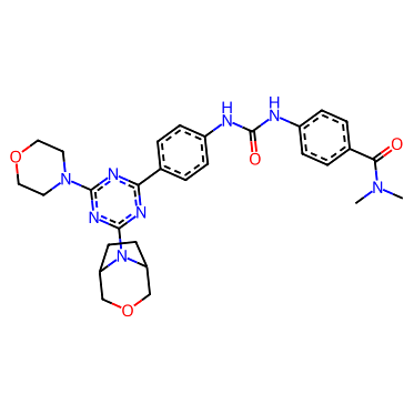 CN(C)C(=O)c1ccc(NC(=O)Nc2ccc(-c3nc(N4CCOCC4)nc(N4C5CCC4COC5)n3)cc2)cc1